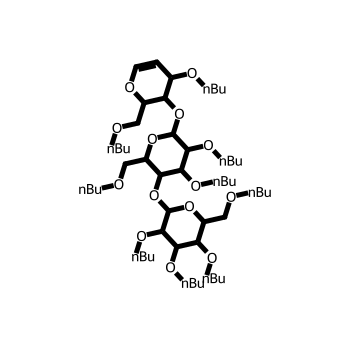 CCCCOCC1OC=CC(OCCCC)C1OC1OC(COCCCC)C(OC2OC(COCCCC)C(OCCCC)C(OCCCC)C2OCCCC)C(OCCCC)C1OCCCC